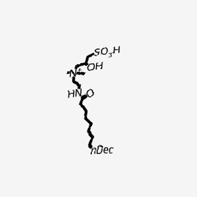 CCCCCCCCCCCCCCCCCC(=O)NCC[N+](C)(C)CC(O)CS(=O)(=O)O